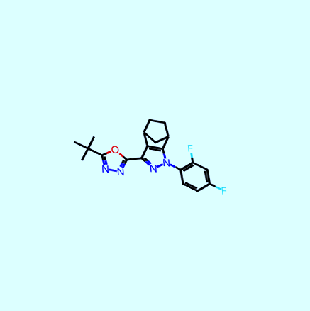 CC(C)(C)c1nnc(-c2nn(-c3ccc(F)cc3F)c3c2C2CCC3C2)o1